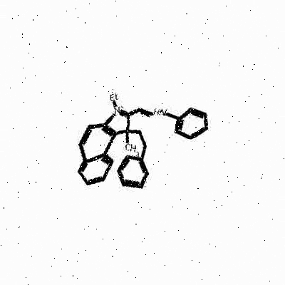 CC[N+]1=C(C=CNc2ccccc2)C(C)(CCc2ccccc2)c2c1ccc1ccccc21